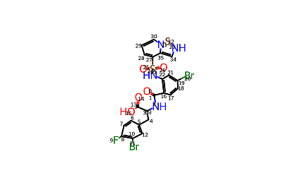 O=C(N[C@@H](Cc1ccc(F)c(Br)c1)C(=O)O)c1ccc(Br)cc1NS(=O)(=O)C1=CC=CN2SNC=C12